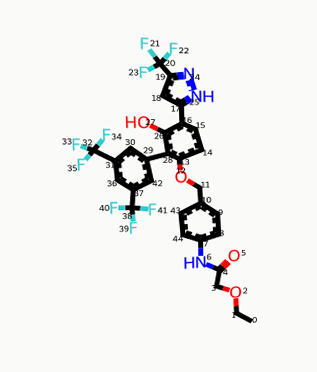 CCOCC(=O)Nc1ccc(COc2ccc(-c3cc(C(F)(F)F)n[nH]3)c(O)c2-c2cc(C(F)(F)F)cc(C(F)(F)F)c2)cc1